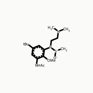 COc1c(NC(C)=O)cc(C(C)(C)C)cc1N(CCN(C)C)[S+](C)[O-]